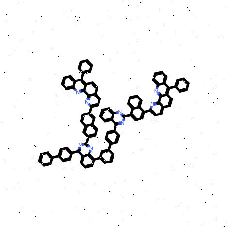 c1ccc(-c2ccc(-c3nc(-c4ccc5cc(-c6ccc7ccc8c(-c9ccccc9)c9ccccc9nc8c7n6)ccc5c4)nc4c(-c5cccc(-c6ccc(-c7nc(-c8ccc(-c9ccc%10ccc%11c(-c%12ccccc%12)c%12ccccc%12nc%11c%10n9)c9ccccc89)nc8ccccc78)cc6)c5)cccc34)cc2)cc1